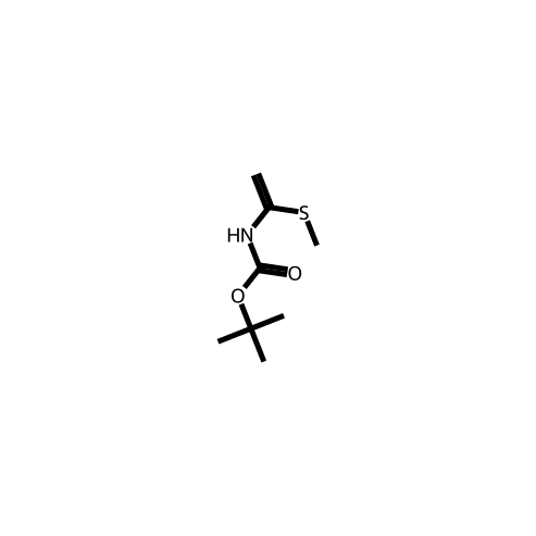 C=C(NC(=O)OC(C)(C)C)SC